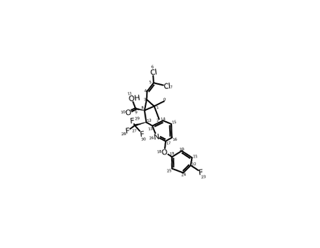 CC1(C)C(C=C(Cl)Cl)[C@@]1(C(=O)O)[C@@H](c1cccc(Oc2ccc(F)cc2)n1)C(F)(F)F